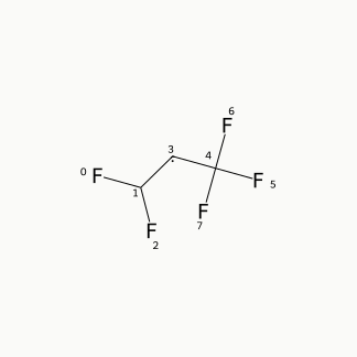 FC(F)[CH]C(F)(F)F